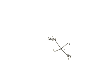 [CH2]C(C)C(C)(C)NC